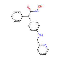 O=C(NO)C(c1ccccc1)c1ccc(NCc2ccccn2)cc1